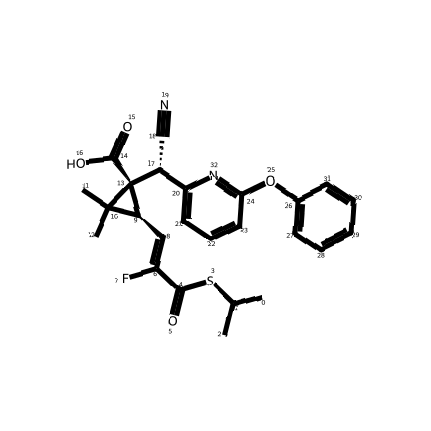 CC(C)SC(=O)C(F)=C[C@H]1C(C)(C)[C@]1(C(=O)O)[C@H](C#N)c1cccc(Oc2ccccc2)n1